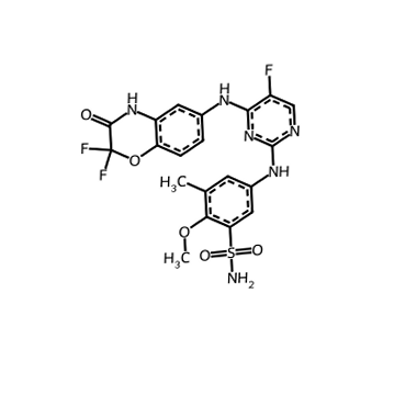 COc1c(C)cc(Nc2ncc(F)c(Nc3ccc4c(c3)NC(=O)C(F)(F)O4)n2)cc1S(N)(=O)=O